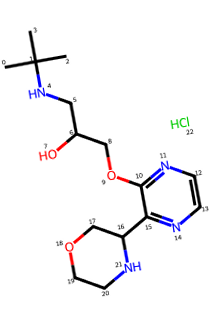 CC(C)(C)NCC(O)COc1nccnc1C1COCCN1.Cl